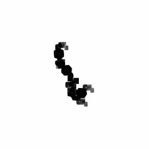 Cc1ccc2c(c1)N1C(=CC2C)CS/C1=N\C(=O)N/N=C/c1ccc(-c2ncn(-c3ccc(OC(F)(F)F)cc3)n2)cc1